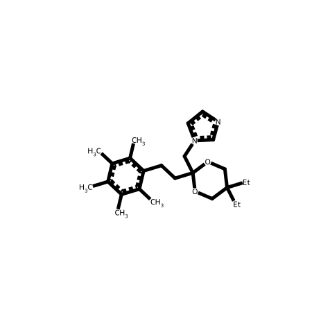 CCC1(CC)COC(CCc2c(C)c(C)c(C)c(C)c2C)(Cn2ccnc2)OC1